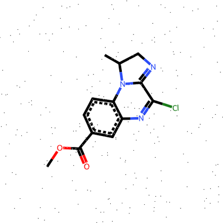 COC(=O)c1ccc2c(c1)N=C(Cl)C1=NCC(C)N12